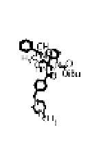 CC(C)COC(=O)N1NC(NC(=O)c2ccc(CN3CCN(C)CC3)cc2)(C(=O)NC(C)(C)c2ccccc2)c2occc21